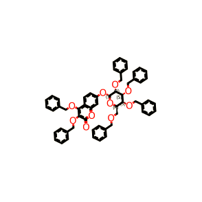 O=c1oc2cc(O[C@@H]3O[C@H](COCc4ccccc4)[C@H](OCc4ccccc4)[C@H](OCc4ccccc4)[C@H]3OCc3ccccc3)ccc2c(OCc2ccccc2)c1OCc1ccccc1